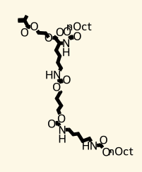 C=C(C)C(=O)OCCOC(=O)C(CCCCNC(=O)OCCCCOC(=O)NCCCCCNC(=O)OCCCCCCCC)NC(=O)OCCCCCCCC